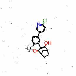 Cc1ccc(-c2ccc(Cl)nc2)cc1C1=C(O)C2CCC(C2)C1=O